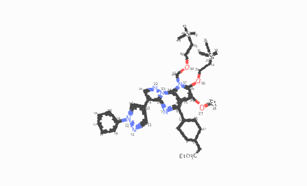 CCOC(=O)CC1CCC(c2nc3c(-c4cnn(-c5ccccc5)c4)cnn3c3c2c(OCC)c(OCC[Si](C)(C)C)n3COCC[Si](C)(C)C)CC1